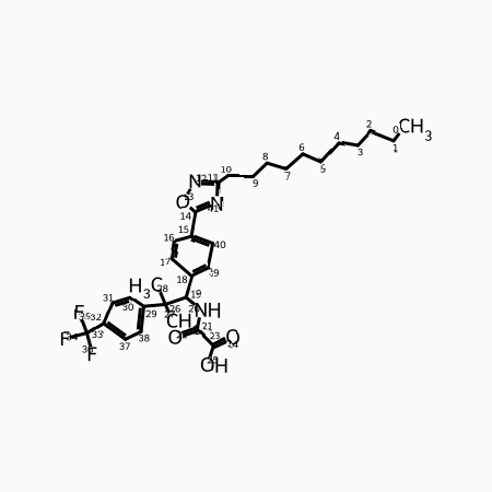 CCCCCCCCCCCc1noc(-c2ccc(C(NC(=O)C(=O)O)C(C)(C)c3ccc(C(F)(F)F)cc3)cc2)n1